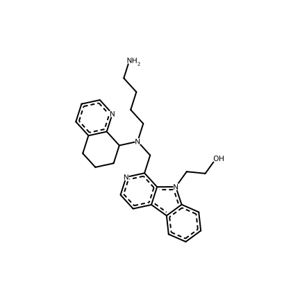 NCCCCN(Cc1nccc2c3ccccc3n(CCO)c12)C1CCCc2cccnc21